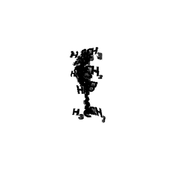 CN(C)CCCCCCNC(=O)c1ccc(NC(=O)c2ncc(-c3cc(F)c(N(C)C)nc3F)n2C)cc1Cl